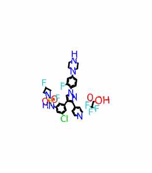 O=C(O)C(F)(F)F.O=S(=O)(Nc1cc(Cl)cc(-c2cn(-c3ccc(N4CCNCC4)cc3F)nc2-c2ccncc2)c1F)N1CC(F)C1